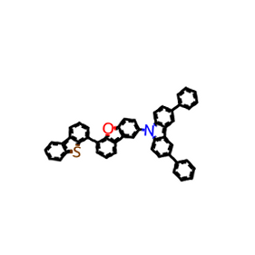 c1ccc(-c2ccc3c(c2)c2cc(-c4ccccc4)ccc2n3-c2ccc3oc4c(-c5cccc6c5sc5ccccc56)cccc4c3c2)cc1